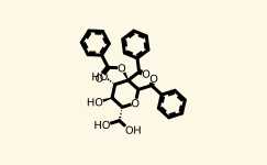 O=C(O[C@@]1(C(=O)c2ccccc2)[C](C(=O)c2ccccc2)O[C@H](C(O)O)[C@@H](O)[C@@H]1O)c1ccccc1